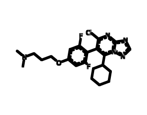 CN(C)CCCOc1cc(F)c(-c2c(Cl)nc3ncnn3c2C2CCCCC2)c(F)c1